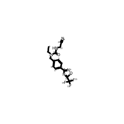 CCN(Cc1ccc(-c2noc(C(F)(F)F)n2)cc1)C(=O)NCC#N